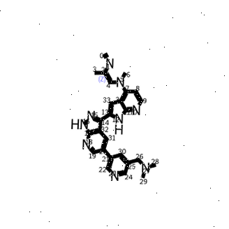 C=N/C(C)=C\N(C)c1ccnc2[nH]c(-c3n[nH]c4ncc(-c5cncc(CN(C)C)c5)cc34)cc12